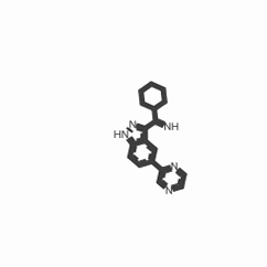 N=C(c1n[nH]c2ccc(-c3cnccn3)cc12)C1CCCCC1